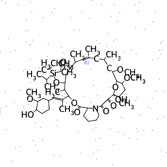 COC1CC(C=C(C)C2OC(=O)C3CCCCN3C(=O)C(=O)C3(O)OC(C(OC)CC(C)C/C(C)=C/C(C)C(=O)CC(O[Si](C(C)C)(C(C)C)C(C)C)C2C)C(OC)CC3C)CCC1O